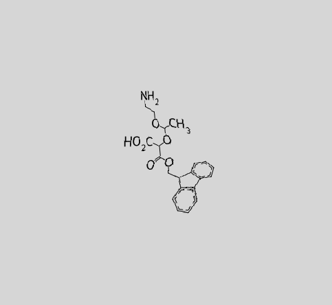 CC(OCCN)OC(C(=O)O)C(=O)OCC1c2ccccc2-c2ccccc21